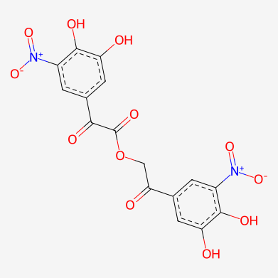 O=C(OCC(=O)c1cc(O)c(O)c([N+](=O)[O-])c1)C(=O)c1cc(O)c(O)c([N+](=O)[O-])c1